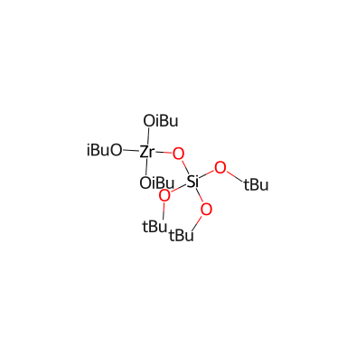 CC(C)C[O][Zr]([O]CC(C)C)([O]CC(C)C)[O][Si](OC(C)(C)C)(OC(C)(C)C)OC(C)(C)C